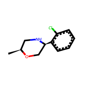 C[C@H]1CN[C@@H](c2ccccc2Cl)CO1